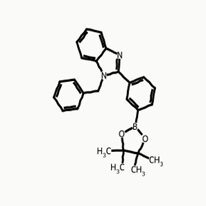 CC1(C)OB(c2cccc(-c3nc4ccccc4n3Cc3ccccc3)c2)OC1(C)C